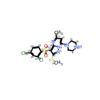 CSc1nn2c(N3CCNCC3)cc(C)nc2c1S(=O)(=O)c1ccc(Cl)cc1Cl